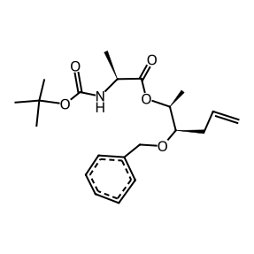 C=CC[C@@H](OCc1ccccc1)[C@H](C)OC(=O)[C@H](C)NC(=O)OC(C)(C)C